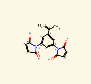 C=C(C)c1cc(N2C(=O)C=CC2=O)cc(N2C(=O)C=CC2=O)c1